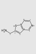 NCc1cc2cnccc2s1